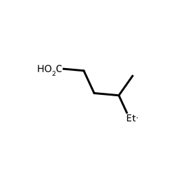 C[CH]C(C)CCC(=O)O